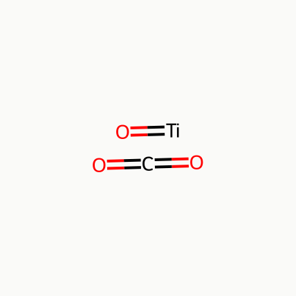 O=C=O.[O]=[Ti]